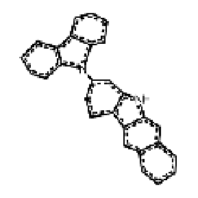 c1ccc2cc3c(cc2c1)[nH]c1cc(-n2c4ccccc4c4ccccc42)ccc13